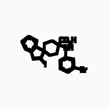 O=C(O)C1(Nc2cccc(Br)c2)CCC2(CC1)C(I)=Cc1ccccc12